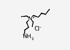 CCCCC[N+](CC)(CC)CCCN.[Cl-]